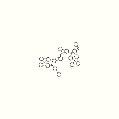 CC1(Cc2cccc3c2sc2ccc(N(c4ccc(-c5ccccc5)cc4)c4ccc5c(c4)C4(c6ccccc6-c6ccccc64)c4ccccc4-5)cc23)c2ccccc2-c2ccc(N(c3ccc4c(c3)C3(c5ccccc5-c5ccccc53)c3ccccc3-4)c3ccc4oc5ccccc5c4c3)cc21